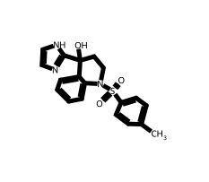 Cc1ccc(S(=O)(=O)N2CCC(O)(c3ncc[nH]3)c3ccccc32)cc1